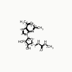 CNC(=O)NC[C@H]1O[C@@H](n2cnc(C(C)=O)c2N=C(C)C)[C@@H](O)C1O